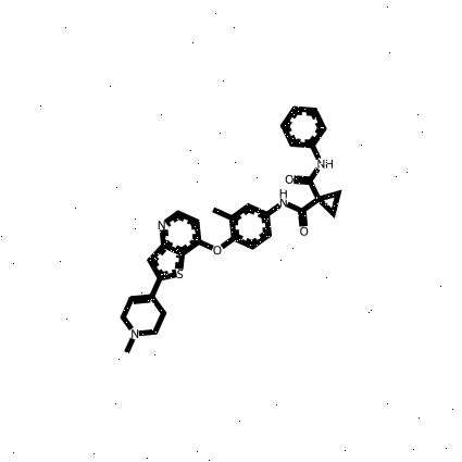 Cc1cc(NC(=O)C2(C(=O)Nc3ccccc3)CC2)ccc1Oc1ccnc2cc(C3=CCN(C)CC3)sc12